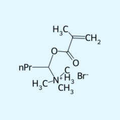 C=C(C)C(=O)OC(CCC)[N+](C)(C)C.[Br-]